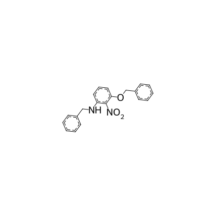 O=[N+]([O-])c1c(NCc2ccccc2)cccc1OCc1ccccc1